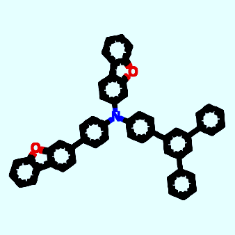 c1ccc(-c2cc(-c3ccccc3)cc(-c3ccc(N(c4ccc(-c5ccc6c(c5)oc5ccccc56)cc4)c4ccc5c(c4)oc4ccccc45)cc3)c2)cc1